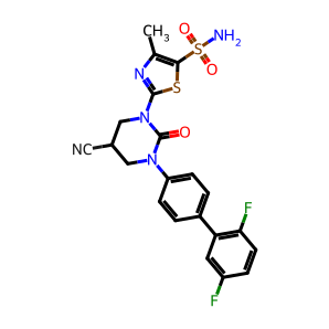 Cc1nc(N2CC(C#N)CN(c3ccc(-c4cc(F)ccc4F)cc3)C2=O)sc1S(N)(=O)=O